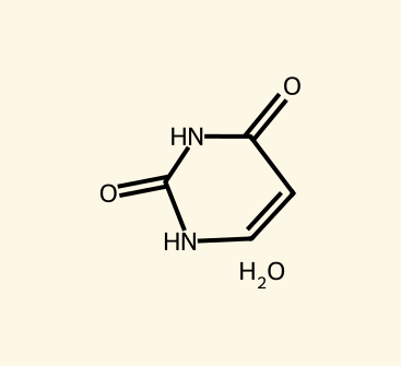 O.O=c1cc[nH]c(=O)[nH]1